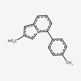 Cc1ccc(-c2cccc3cc(C(=O)O)cn23)cc1